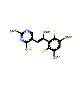 CN/C(=C\c1cnc(SC)nc1C=O)c1c(F)c(OC)cc(OC)c1F